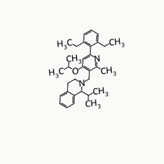 CCc1cccc(CC)c1-c1cc(OC(C)C)c(CN2CCc3ccccc3C2C(C)C)c(C)n1